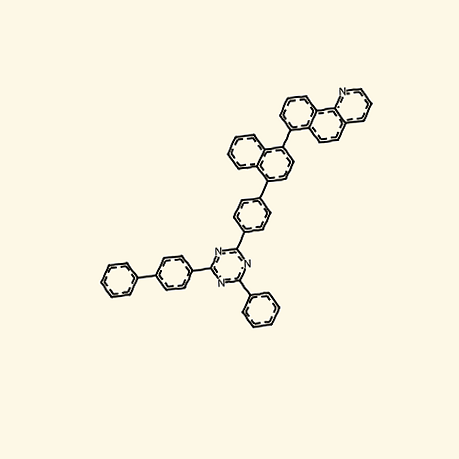 c1ccc(-c2ccc(-c3nc(-c4ccccc4)nc(-c4ccc(-c5ccc(-c6cccc7c6ccc6cccnc67)c6ccccc56)cc4)n3)cc2)cc1